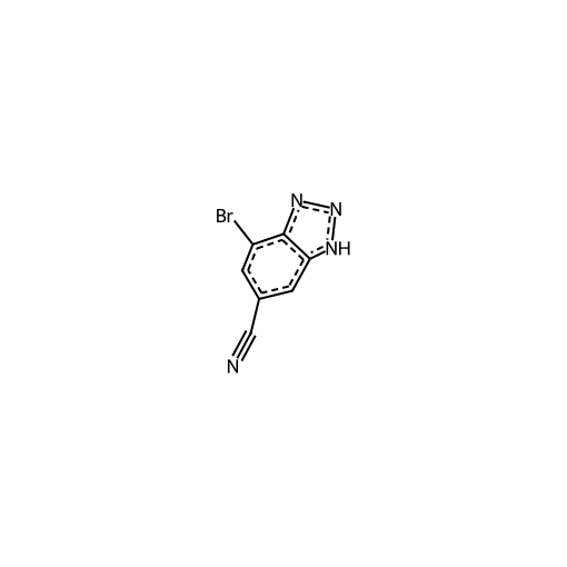 N#Cc1cc(Br)c2nn[nH]c2c1